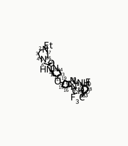 CCN1CCCN(CC(=O)Nc2cc(Oc3ccc4c(c3)nc(Nc3cc(C(F)(F)F)ccc3F)n4C)ccn2)CC1